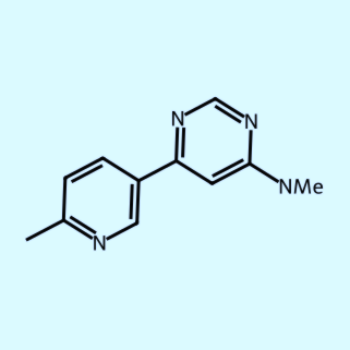 CNc1cc(-c2ccc(C)nc2)ncn1